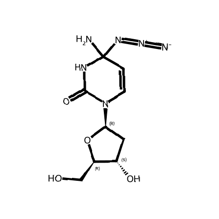 [N-]=[N+]=NC1(N)C=CN([C@H]2C[C@H](O)[C@@H](CO)O2)C(=O)N1